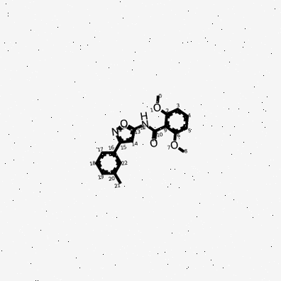 COc1cccc(OC)c1C(=O)Nc1cc(-c2cccc(C)c2)no1